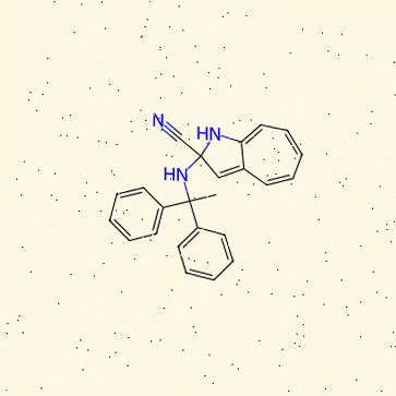 CC(NC1(C#N)C=C2C=CC=CC=C2N1)(c1ccccc1)c1ccccc1